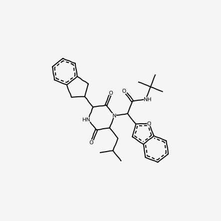 CC(C)CC1C(=O)NC(C2Cc3ccccc3C2)C(=O)N1C(C(=O)NC(C)(C)C)c1cc2ccccc2o1